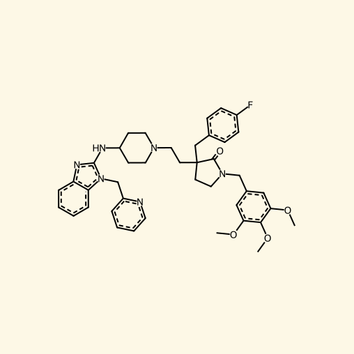 COc1cc(CN2CCC(CCN3CCC(Nc4nc5ccccc5n4Cc4ccccn4)CC3)(Cc3ccc(F)cc3)C2=O)cc(OC)c1OC